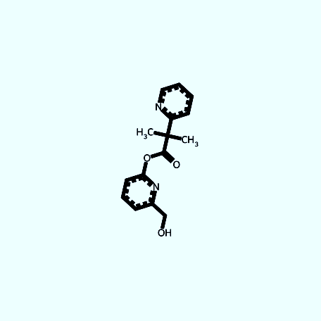 CC(C)(C(=O)Oc1cccc(CO)n1)c1ccccn1